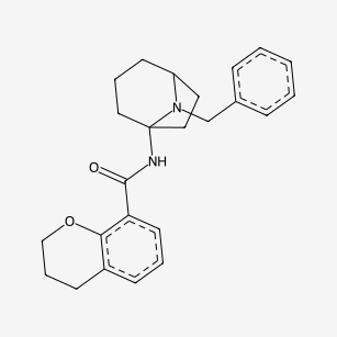 O=C(NC12CCCC(CC1)N2Cc1ccccc1)c1cccc2c1OCCC2